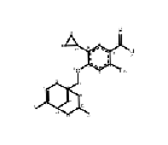 CC1=CCC2(COc3cc(F)c(C(=O)Cl)cc3C3CC3)CC(C)CC1C2